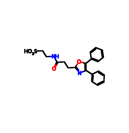 O=C(CCc1nc(-c2ccccc2)c(-c2ccccc2)o1)NCCS(=O)(=O)O